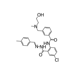 Cc1ccc(C=NNC(=O)c2cc(Cl)ccc2NC(=O)c2cccc(CN(C)CCO)c2)cc1